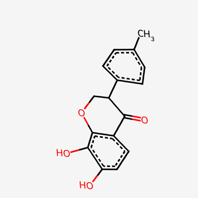 Cc1ccc(C2COc3c(ccc(O)c3O)C2=O)cc1